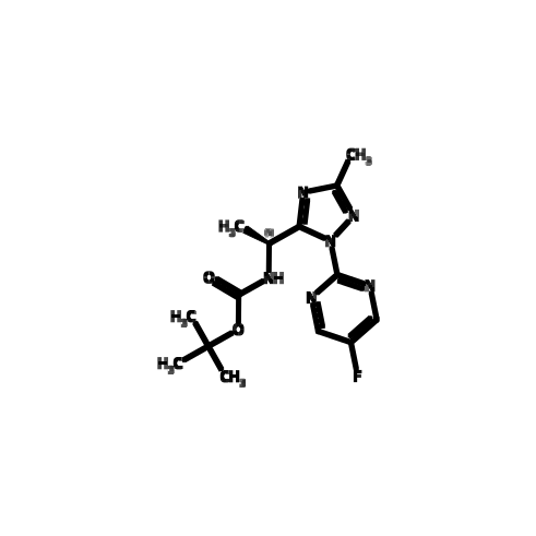 Cc1nc([C@H](C)NC(=O)OC(C)(C)C)n(-c2ncc(F)cn2)n1